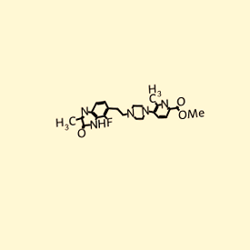 COC(=O)c1ccc(N2CCN(CCc3ccc4nc(C)c(=O)[nH]c4c3F)CC2)c(C)n1